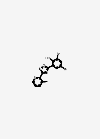 Cc1cccnc1-c1noc(-c2cc(Br)cc(Br)c2O)n1